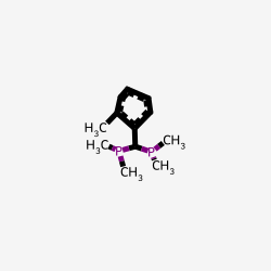 Cc1ccccc1C(P(C)C)P(C)C